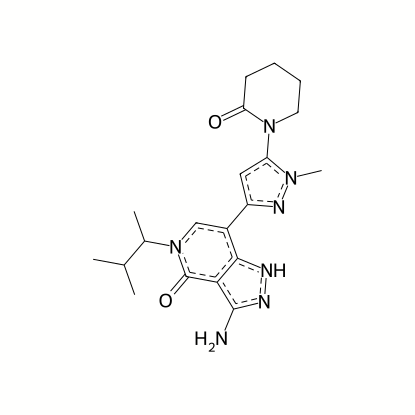 CC(C)C(C)n1cc(-c2cc(N3CCCCC3=O)n(C)n2)c2[nH]nc(N)c2c1=O